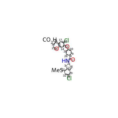 CSC1=C(CCNC(=O)c2ccc(Oc3cc4c(cc3Cl)C(C(=O)O)CCO4)cc2)C(C)CC(Cl)=C1